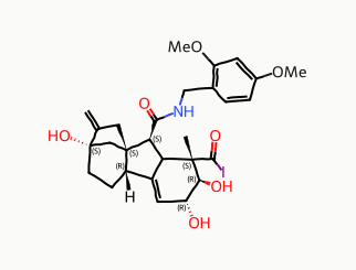 C=C1C[C@]23C[C@@]1(O)CC[C@H]2C1=C[C@@H](O)[C@H](O)[C@@](C)(C(=O)I)C1[C@@H]3C(=O)NCc1ccc(OC)cc1OC